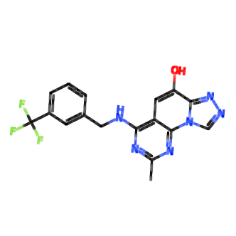 Cc1nc(NCc2cccc(C(F)(F)F)c2)c2cc(O)c3nncn3c2n1